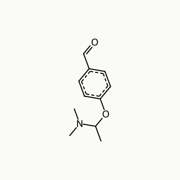 CC(Oc1ccc(C=O)cc1)N(C)C